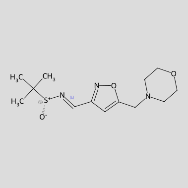 CC(C)(C)[S@@+]([O-])/N=C/c1cc(CN2CCOCC2)on1